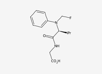 CC(C)[C@@H](C(=O)NCC(=O)O)N(CF)c1ccccc1